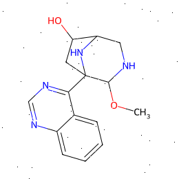 COC1NCC2NC1(c1ncnc3ccccc13)CC2O